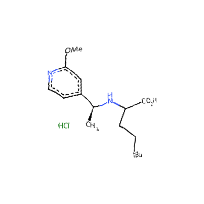 COc1cc([C@H](C)NC(CCC(C)(C)C)C(=O)O)ccn1.Cl